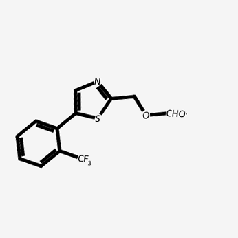 O=[C]OCc1ncc(-c2ccccc2C(F)(F)F)s1